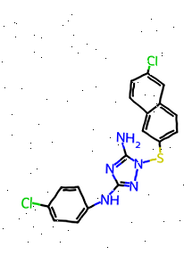 Nc1nc(Nc2ccc(Cl)cc2)nn1Sc1ccc2cc(Cl)ccc2c1